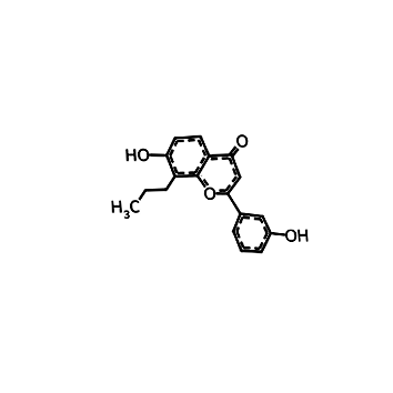 CCCc1c(O)ccc2c(=O)cc(-c3cccc(O)c3)oc12